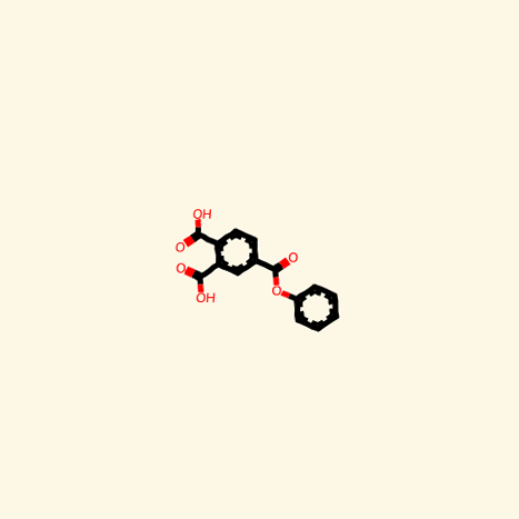 O=C(Oc1ccccc1)c1ccc(C(=O)O)c(C(=O)O)c1